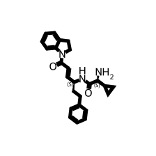 N[C@H](C(=O)N[C@H](C=CC(=O)N1CCc2ccccc21)CCc1ccccc1)C1CC1